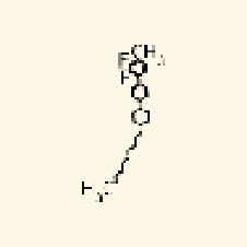 CCCCCCCCCC[C@H]1CC[C@H](C2C=CC(c3ccc(C)c(F)c3F)=CC2)CC1